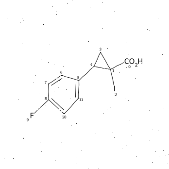 O=C(O)C1(I)CC1c1ccc(F)cc1